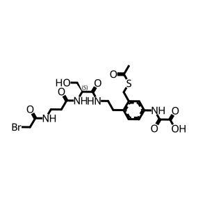 CC(=O)SCc1cc(NC(=O)C(=O)O)ccc1CCNC(=O)[C@H](CO)NC(=O)CCNC(=O)CBr